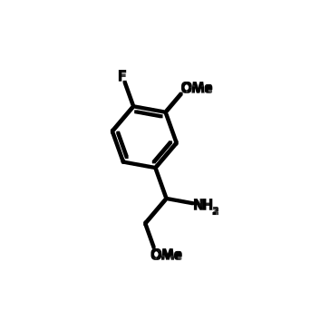 COCC(N)c1ccc(F)c(OC)c1